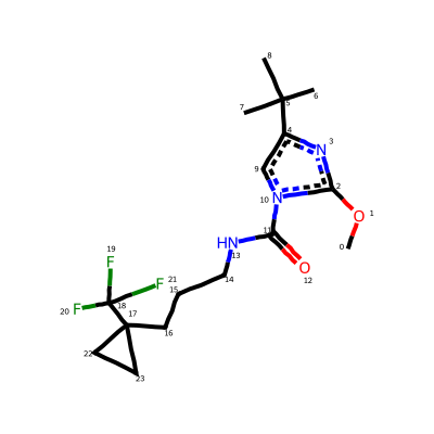 COc1nc(C(C)(C)C)cn1C(=O)NCCCC1(C(F)(F)F)CC1